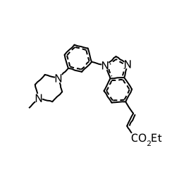 CCOC(=O)/C=C/c1ccc2c(c1)ncn2-c1cccc(N2CCN(C)CC2)c1